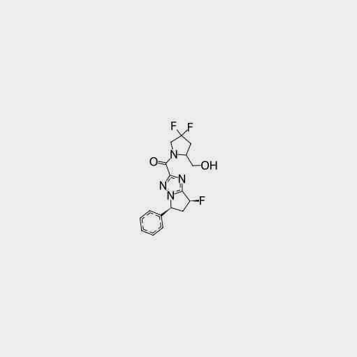 O=C(c1nc2n(n1)[C@H](c1ccccc1)C[C@@H]2F)N1CC(F)(F)CC1CO